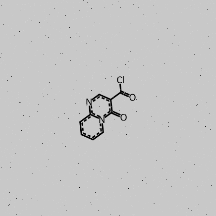 O=C(Cl)c1cnc2ccccn2c1=O